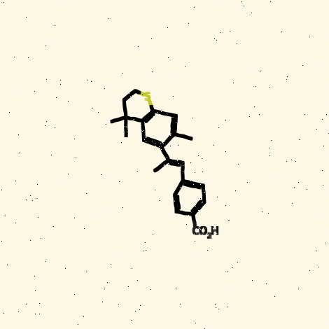 CC(=Cc1ccc(C(=O)O)cc1)c1cc2c(cc1C)SCCC2(C)C